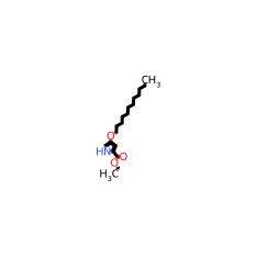 CCCCCCCCCCCCOc1c[nH]c(C(=O)OCC)c1